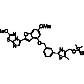 COc1cc(OCc2cccc(-c3nc(CO[Si](C)(C)C(C)(C)C)c(C)s3)c2)c2cc(-c3cnc4sc(OC)nn34)oc2c1